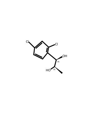 C[C@@H](O)[C@H](O)c1ccc(Cl)cc1Cl